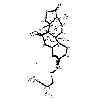 C=C1CC2CC(=NOC[C@H](C)N)CC[C@]2(C)[C@H]2CC[C@]3(C)C(=O)CC[C@H]3[C@H]12